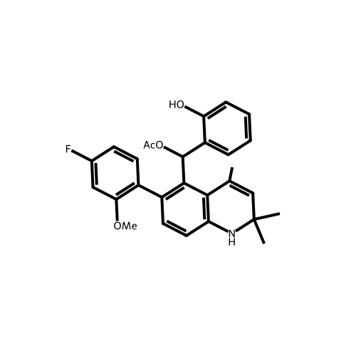 COc1cc(F)ccc1-c1ccc2c(c1C(OC(C)=O)c1ccccc1O)C(C)=CC(C)(C)N2